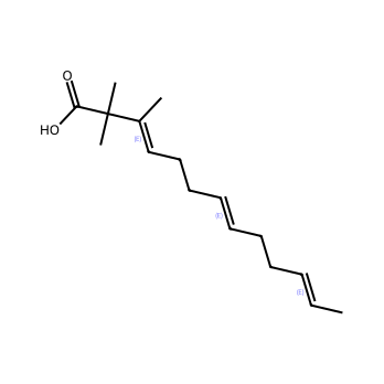 C/C=C/CC/C=C/CC/C=C(\C)C(C)(C)C(=O)O